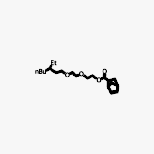 CCCCC(CC)CCOCCOCCOC(=O)C1CC2C=CC1C2